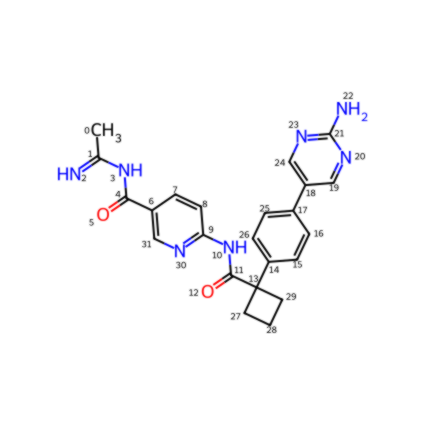 CC(=N)NC(=O)c1ccc(NC(=O)C2(c3ccc(-c4cnc(N)nc4)cc3)CCC2)nc1